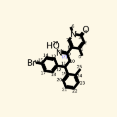 Cc1cc(=O)n(C)cc1/C(CC(c1ccc(Br)cc1)c1ccccc1C)=N\O